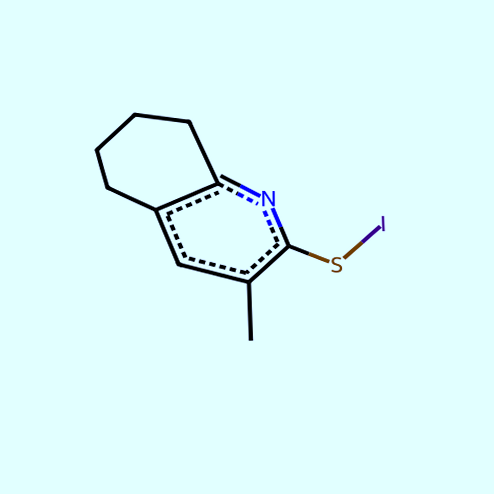 Cc1cc2c(nc1SI)CCCC2